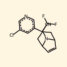 N#CC1(c2cncc(Cl)c2)CC2C=CC(C1)N2CC(F)F